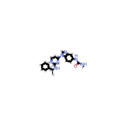 CNC(=O)Nc1ccc2c(c1)ncn2-c1ccnc(N[C@@H](C)c2ccccc2)n1